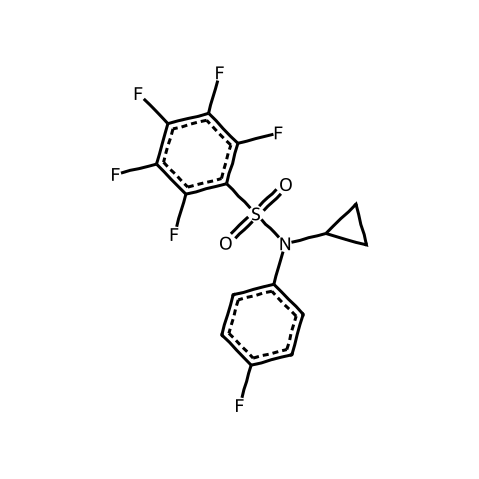 O=S(=O)(c1c(F)c(F)c(F)c(F)c1F)N(c1ccc(F)cc1)C1CC1